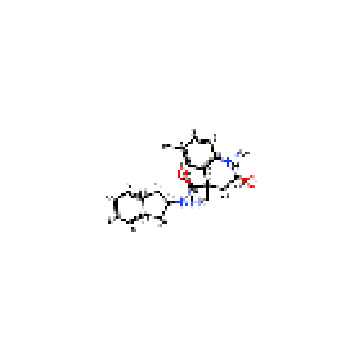 Cc1ccc2c(c1)C(C)(C(=O)NC1Cc3ccccc3C1)CC(=O)N2C